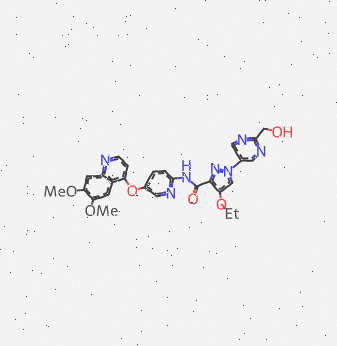 CCOc1cn(-c2cnc(CO)nc2)nc1C(=O)Nc1ccc(Oc2ccnc3cc(OC)c(OC)cc23)cn1